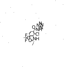 CCC(=O)Nc1c(OC(C)(F)F)ccc(C(=O)Nc2nnnn2C)c1Cl